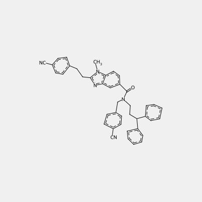 Cn1c(CCc2ccc(C#N)cc2)nc2cc(C(=O)N(CCC(c3ccccc3)c3ccccc3)Cc3ccc(C#N)cc3)ccc21